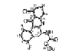 Cc1ncc(F)cc1-n1c(C(C)NC(=O)OC(C)(C)C)nc2cccc(Cl)c2c1=O